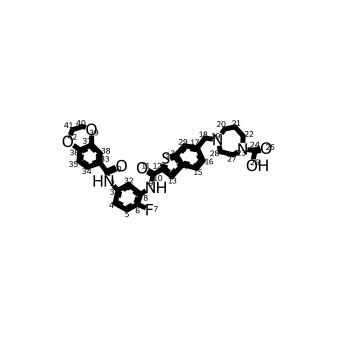 O=C(Nc1ccc(F)c(NC(=O)c2cc3ccc(CN4CCCN(C(=O)O)CC4)cc3s2)c1)c1ccc2c(c1)OCCO2